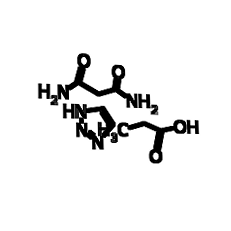 CCC(=O)O.NC(=O)CC(N)=O.c1c[nH]nn1